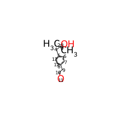 CC(C)(O)Cc1ccc(CC=O)cc1